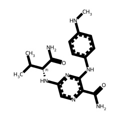 CNc1ccc(Nc2nc(N[C@@H](C(N)=O)C(C)C)cnc2C(N)=O)cc1